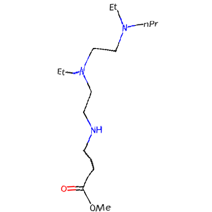 CCCN(CC)CCN(CC)CCNCCC(=O)OC